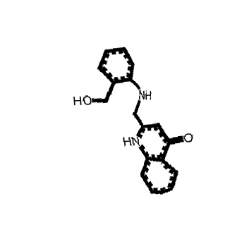 O=c1cc(CNc2ccccc2CO)[nH]c2ccccc12